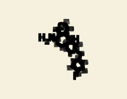 N[C@H]1CCC2(CCN(Cc3ccc(F)cc3)CC2)Nc2ccccc21